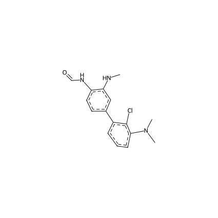 CNc1cc(-c2cccc(N(C)C)c2Cl)ccc1NC=O